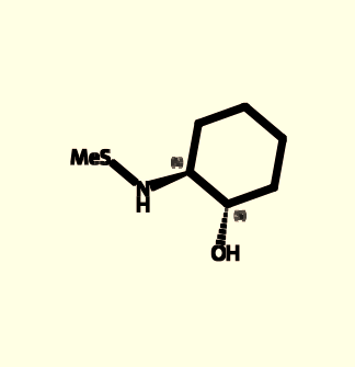 CSN[C@H]1CCCC[C@@H]1O